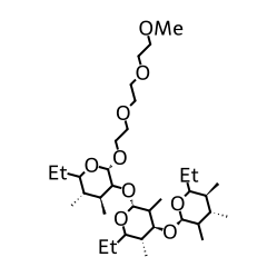 CCC1O[C@H](O[C@@H]2C(C)[C@@H](OC3[C@@H](OCCOCCOCCOC)OC(CC)[C@@H](C)[C@@H]3C)OC(CC)[C@H]2C)C(C)[C@@H](C)[C@@H]1C